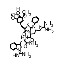 COc1cc(C=C2SC(=Nc3ccccc3)N([C@@H](CCCN=C(N)N)C(=O)N[C@@H](CC3CN(C(=N)N)c4ccccc43)C(N)=O)C2=O)cc(OC)c1O